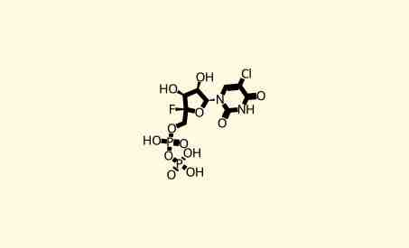 O=c1[nH]c(=O)n([C@@H]2O[C@](F)(COP(=O)(O)OP(=O)(O)O)[C@@H](O)[C@H]2O)cc1Cl